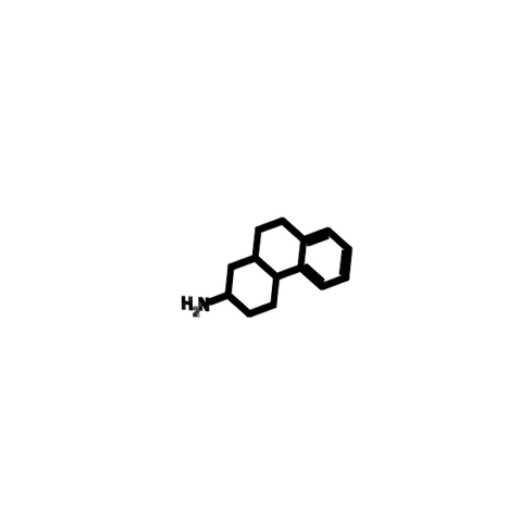 NC1CCC2c3ccccc3CCC2C1